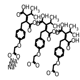 CC(C)C(C(=O)O)=C(Cc1ccc(OCC(=O)[O-])cc1)C(=O)O.CC(C)C(C(=O)O)=C(Cc1ccc(OCC(=O)[O-])cc1)C(=O)O.CC(C)C(C(=O)O)=C(Cc1ccc(OCC(=O)[O-])cc1)C(=O)O.[Na+].[Na+].[Na+]